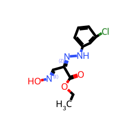 CCOC(=O)C(/C=N/O)=N\Nc1cccc(Cl)c1